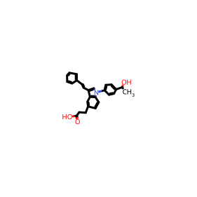 CC(O)c1ccc(-n2cc(C=Cc3ccccc3)c3cc(CCC(=O)O)ccc32)cc1